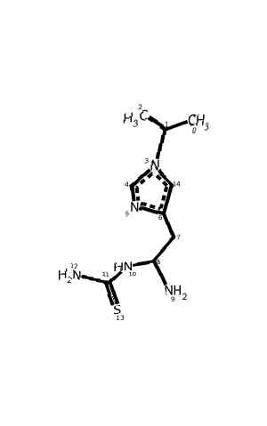 CC(C)n1cnc(CC(N)NC(N)=S)c1